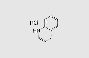 C1=CNc2ccccc2C1.Cl